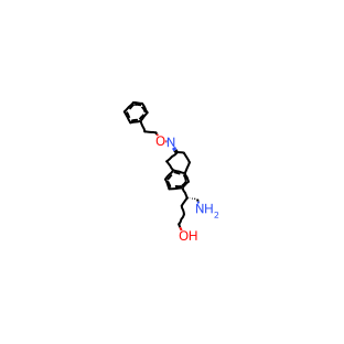 NC[C@H](CCCO)c1ccc2c(c1)CC/C(=N/OCCc1ccccc1)C2